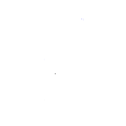 Nc1ccc([S+]([O-])C[C@@H]2CO[C@](CCc3ccc(F)cc3)(Cn3ccnc3)O2)cc1